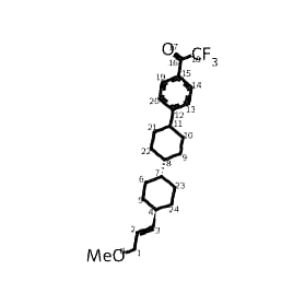 COC/C=C/[C@H]1CC[C@H](C2CCC(c3ccc(C(=O)C(F)(F)F)cc3)CC2)CC1